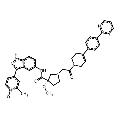 CO[C@@]1(C(=O)Nc2ccc3[nH]nc(-c4cc[n+]([O-])c(C)c4)c3c2)CCN(CC(=O)N2CC=C(c3ccc(-c4ncccn4)cc3)CC2)C1